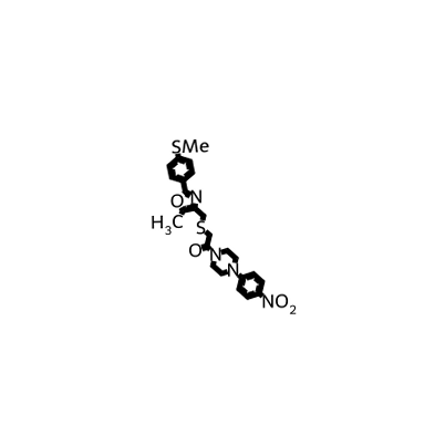 CSc1ccc(-c2nc(CSCC(=O)N3CCN(c4ccc([N+](=O)[O-])cc4)CC3)c(C)o2)cc1